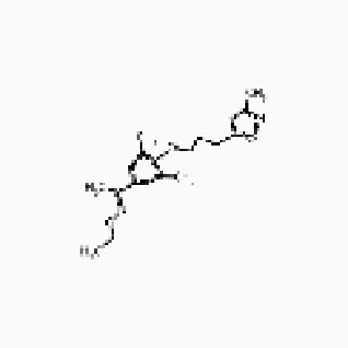 CCON=C(C)c1cc(C)c(OCCCc2cc(C)no2)c(C)c1